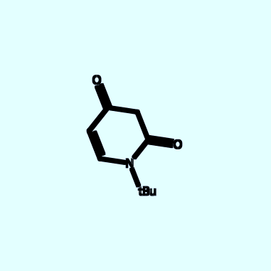 CC(C)(C)N1C=CC(=O)CC1=O